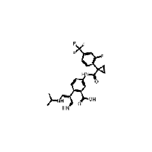 CC(C)N/C=C(\C=N)c1ccc(NC(=O)C2(c3ccc(C(F)(F)F)cc3F)CC2)cc1C(=O)O